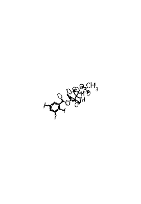 CS(=O)(=O)NC(=O)C12Cc3oc1c(OC(=O)c1cc(I)cc(I)c1I)c3OC2=O